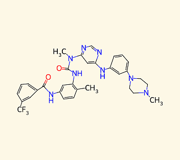 Cc1ccc(NC(=O)c2cccc(C(F)(F)F)c2)cc1NC(=O)N(C)c1cc(Nc2cccc(N3CCN(C)CC3)c2)ncn1